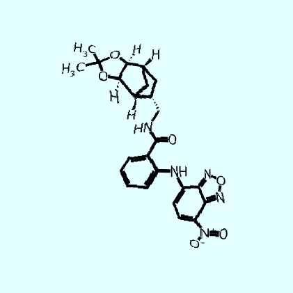 CC1(C)O[C@@H]2[C@@H]3C[C@@H](C[C@@H]3CNC(=O)c3ccccc3Nc3ccc([N+](=O)[O-])c4nonc34)[C@@H]2O1